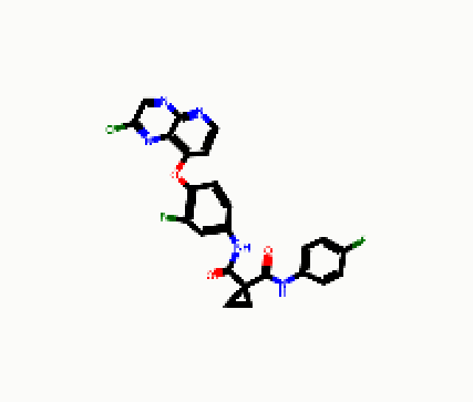 O=C(Nc1ccc(F)cc1)C1(C(=O)Nc2ccc(Oc3ccnc4ncc(Cl)nc34)c(F)c2)CC1